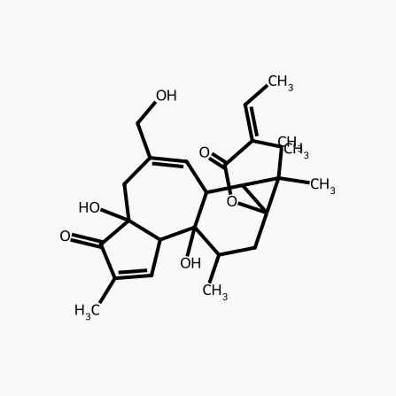 C/C=C(\C)C(=O)OC12CC(C)C3(O)C(C=C(CO)CC4(O)C(=O)C(C)=CC43)C1C2(C)C